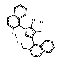 CCc1ccc2ccccc2c1-n1c[n+](-c2c(C)ccc3ccccc23)c(Cl)c1Cl.[Br-]